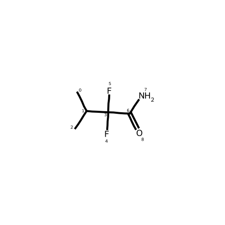 CC(C)C(F)(F)C(N)=O